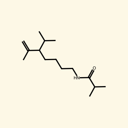 C=C(C)C(CCCCNC(=O)C(C)C)C(C)C